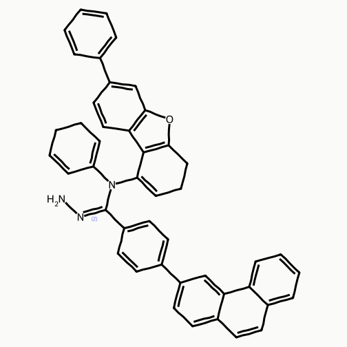 N/N=C(/c1ccc(-c2ccc3ccc4ccccc4c3c2)cc1)N(C1=CCCC=C1)C1=CCCc2oc3cc(-c4ccccc4)ccc3c21